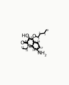 CCCCOc1c(O)c(=O)n(CC)c2cc(N)ccc12